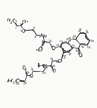 C=CC(=O)OCCNC(=O)COc1cc2c(cc1OCC(=O)NCCOC(=O)C=C)C(=O)C1=CC=CCC1S2